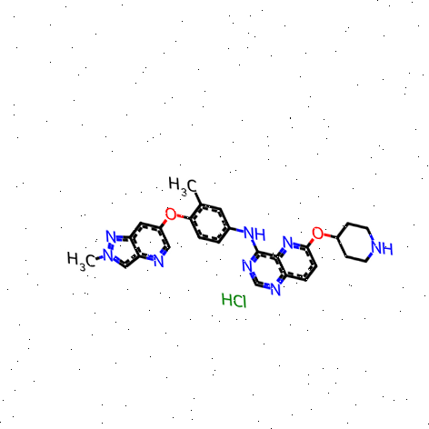 Cc1cc(Nc2ncnc3ccc(OC4CCNCC4)nc23)ccc1Oc1cnc2cn(C)nc2c1.Cl